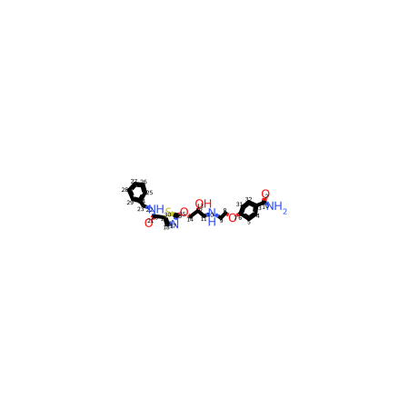 NC(=O)c1ccc(OCCNCC(O)COc2ncc(C(=O)NCc3ccccc3)s2)cc1